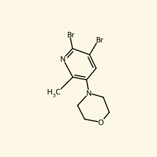 Cc1nc(Br)c(Br)cc1N1CCOCC1